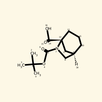 CC(C)(C)OC(=O)N1C[C@@H]2CCC[C@]1(C(=O)O)C2